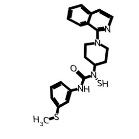 CSc1cccc(NC(=O)N(S)C2CCN(c3nccc4ccccc34)CC2)c1